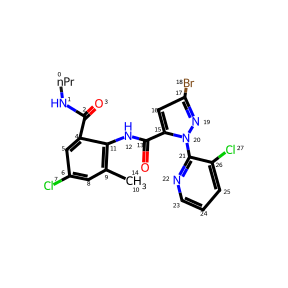 CCCNC(=O)c1cc(Cl)cc(C)c1NC(=O)c1cc(Br)nn1-c1ncccc1Cl